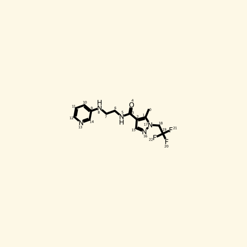 Cc1c(C(=O)NCCNc2cccnc2)cnn1CC(F)(F)F